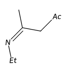 CCN=C(C)CC(C)=O